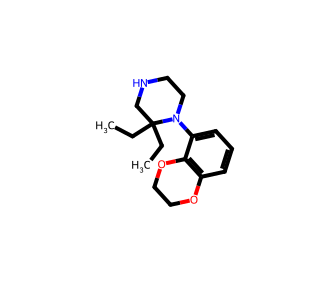 CCC1(CC)CNCCN1c1cccc2c1OCCO2